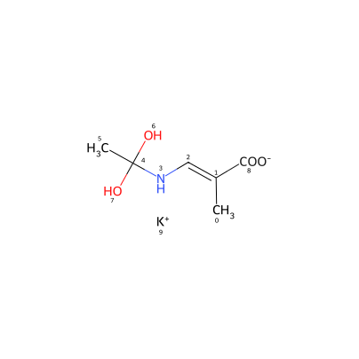 C/C(=C\NC(C)(O)O)C(=O)[O-].[K+]